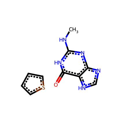 CNc1nc2nc[nH]c2c(=O)[nH]1.c1ccsc1